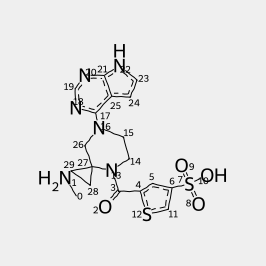 CN.O=C(c1cc(S(=O)(=O)O)cs1)N1CCN(c2ncnc3[nH]ccc23)CC12CC2